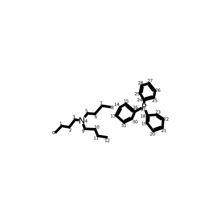 CCCCN(CCCC)CCCC.c1ccc(P(c2ccccc2)c2ccccc2)cc1